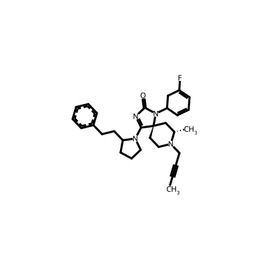 CC#CCN1CC[C@@]2(C[C@@H]1C)C(N1CCCC1CCc1ccccc1)=NC(=O)N2C1C=CC=C(F)C1